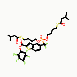 CC(C)CC(=O)SCCCCOP(=O)(OCCCCSC(=O)CC(C)C)C(F)(F)c1ccc2sc(C(=O)Oc3c(F)c(F)c(F)c(F)c3F)cc2c1